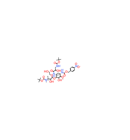 CO[C@H]1[C@H](O)[C@@H](O[C@@H](OCCO)[C@H](O)[C@H](C)N(C)C(=O)OC(C)(C)C)[C@H](NC(=O)[C@H](O)CNC(=O)OC(C)(C)C)C[C@@H]1NC(=O)OCc1ccc([N+](=O)[O-])cc1